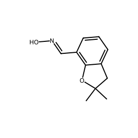 CC1(C)Cc2cccc(C=NO)c2O1